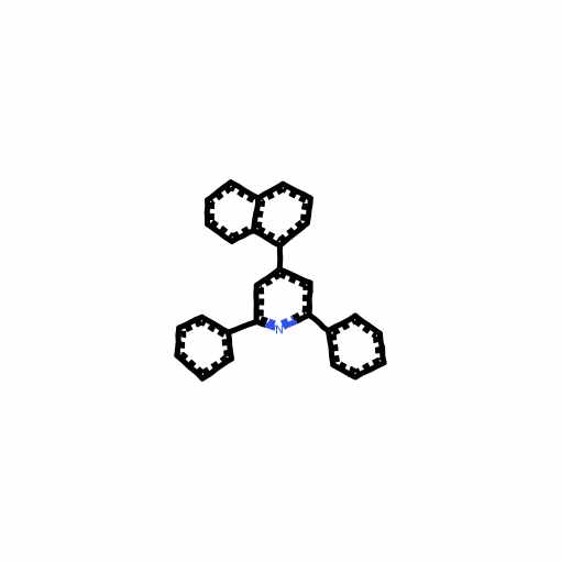 c1ccc(-c2cc(-c3cccc4ccccc34)cc(-c3ccccc3)n2)cc1